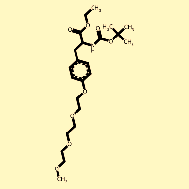 CCOC(=O)C(Cc1ccc(OCCOCCOCCOC)cc1)NC(=O)OC(C)(C)C